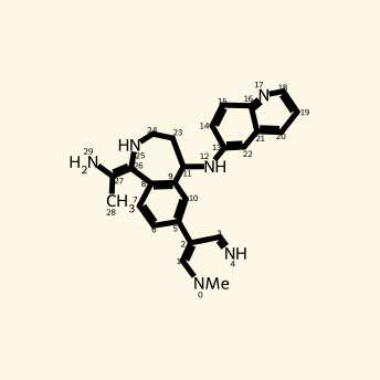 CN/C=C(\C=N)c1ccc2c(c1)C(Nc1ccc3ncccc3c1)CCN/C2=C(/C)N